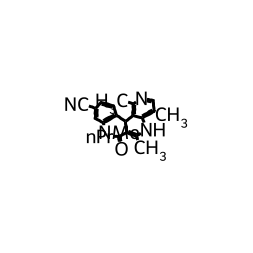 CCCC(=O)C1=C(C)Nc2c(C)cnc(C)c2C1c1ccc(C#N)cc1NC